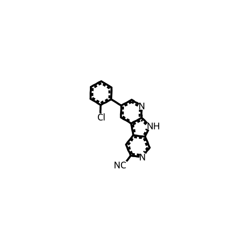 N#Cc1cc2c(cn1)[nH]c1ncc(-c3ccccc3Cl)cc12